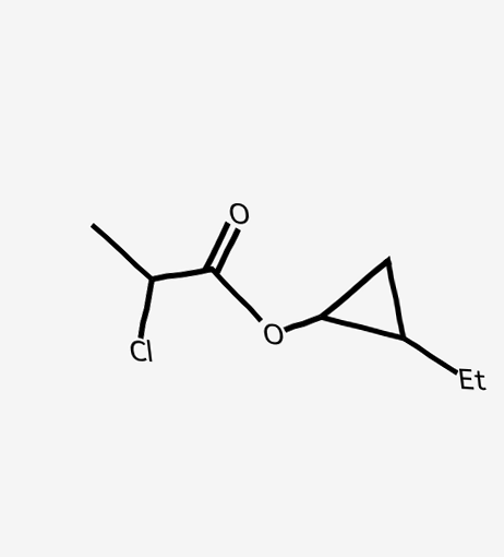 CCC1CC1OC(=O)C(C)Cl